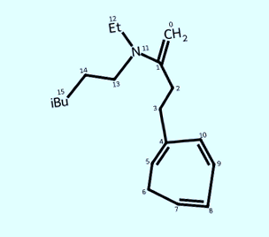 C=C(CCC1=CCC=CC=C1)N(CC)CCC(C)CC